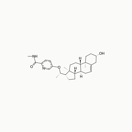 CNC(=O)c1ccc(O[C@@H](C)[C@H]2CC[C@H]3[C@@H]4CC=C5C[C@@H](O)CC[C@]5(C)[C@H]4CC[C@]23C)cn1